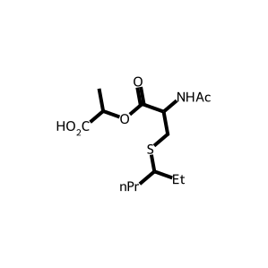 CCCC(CC)SCC(NC(C)=O)C(=O)OC(C)C(=O)O